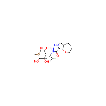 CSC(O)C(O)C([C@H](NC(=O)C1NCC2CCCCOC21)C(C)Cl)[C@@H](O)CO